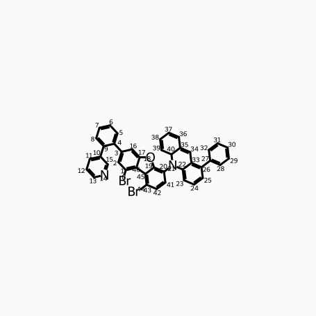 Brc1cc(-c2ccccc2-c2cccnc2)cc2oc3c(N4c5cccc(-c6ccccc6)c5C=C5C=CC=CC54)ccc(Br)c3c12